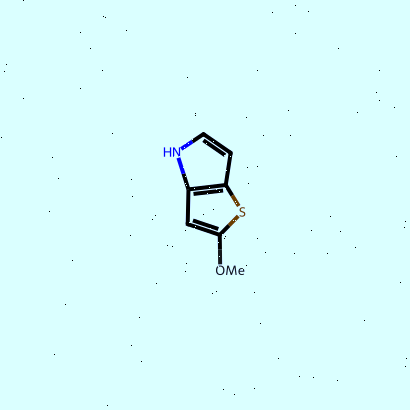 COc1cc2[nH]ccc2s1